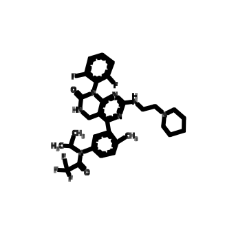 Cc1ccc(N(C(=O)C(F)(F)F)C(C)C)cc1-c1nc(NCCN2CCCCC2)nc2c1CNC(=O)N2c1c(F)cccc1F